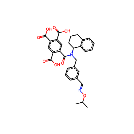 CC(C)ON=Cc1cccc(CN(C(=O)c2cc(C(=O)O)c(C(=O)O)cc2C(=O)O)[C@H]2CCCc3ccccc32)c1